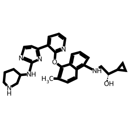 Cc1ccc2c(NC[C@@H](O)C3CC3)cccc2c1Oc1ncccc1-c1ccnc(NC2CCCNC2)n1